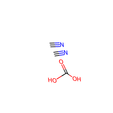 C#N.C#N.O=C(O)O